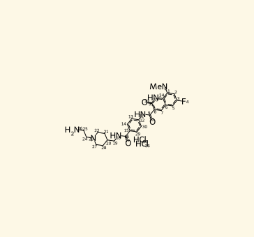 CNc1cc(F)cc2cc(C(=O)Nc3ccc(C(=O)NCC4CCN(CCN)CC4)cc3)c(=O)[nH]c12.Cl.Cl